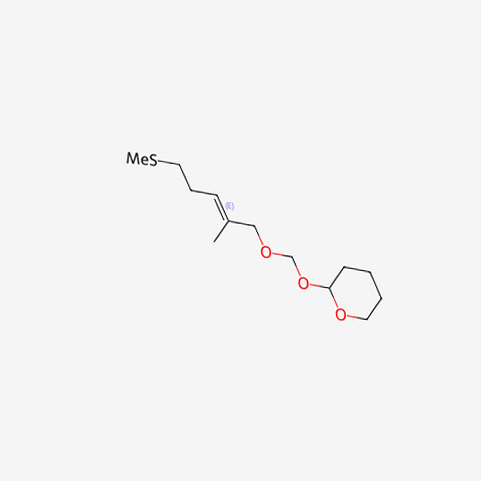 CSCC/C=C(\C)COCOC1CCCCO1